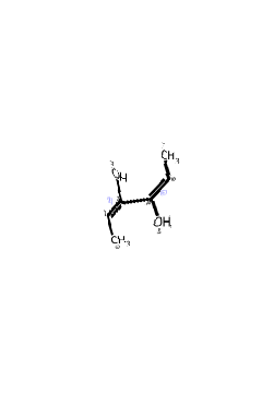 C/C=C(O)\C(O)=C/C